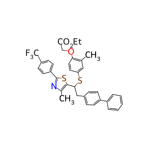 CCOC(=O)COc1ccc(SC(Cc2ccc(-c3ccccc3)cc2)c2sc(-c3ccc(C(F)(F)F)cc3)nc2C)cc1C